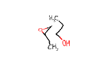 CC1CO1.CCCO